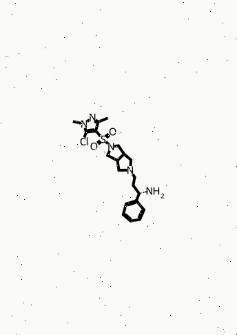 Cc1nn(C)c(Cl)c1S(=O)(=O)N1CC2CN(CC[C@H](N)c3ccccc3)CC2C1